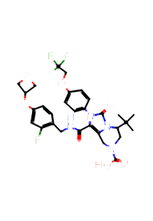 CC(C)(C)C1CN(C(=O)O)Cc2c(C(=O)NCc3ccc(OC4COC4)cc3F)n(-c3ccc(OCC(F)(F)F)cc3)c(=O)n21